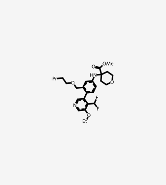 CCOc1cncc(-c2ccc(NC3(C(=O)OC)CCOCC3)cc2COCCC(C)C)c1C(F)F